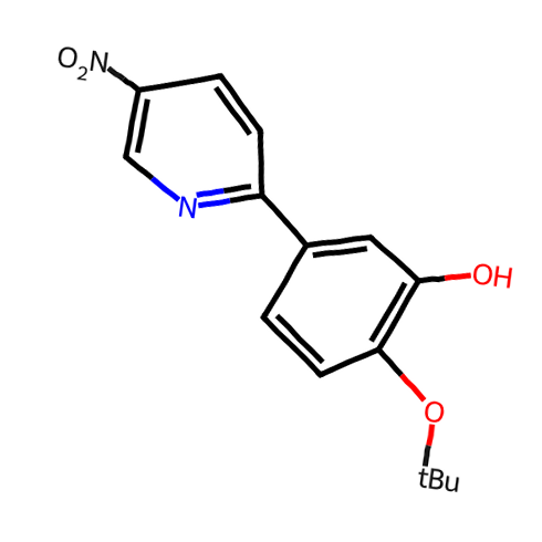 CC(C)(C)Oc1ccc(-c2ccc([N+](=O)[O-])cn2)cc1O